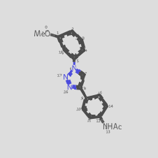 COc1cccc(-n2cc(-c3ccc(NC(C)=O)cc3)nn2)c1